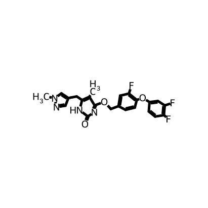 Cc1c(OCc2ccc(Oc3ccc(F)c(F)c3)c(F)c2)nc(=O)[nH]c1Cc1cnn(C)c1